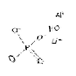 O=P([O-])([O-])[O-].[Al+3].[Li+].[OH-]